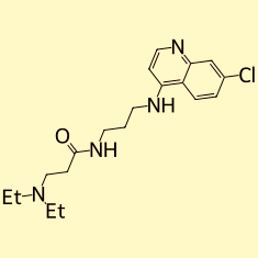 CCN(CC)CCC(=O)NCCCNc1ccnc2cc(Cl)ccc12